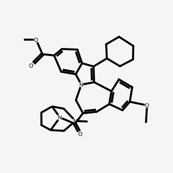 COC(=O)c1ccc2c(C3CCCCC3)c3n(c2c1)CC(C(=O)N1C2CCC1CN(C)C2)=Cc1cc(OC)ccc1-3